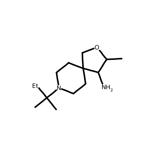 CCC(C)(C)N1CCC2(CC1)COC(C)C2N